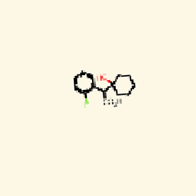 O=C(O)C(c1ccccc1F)C1(O)CCCCC1